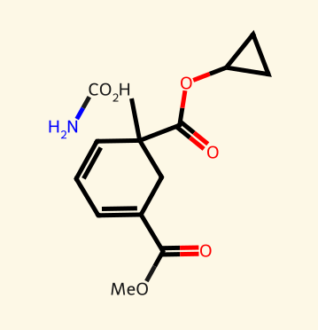 COC(=O)C1=CC=CC(C)(C(=O)OC2CC2)C1.NC(=O)O